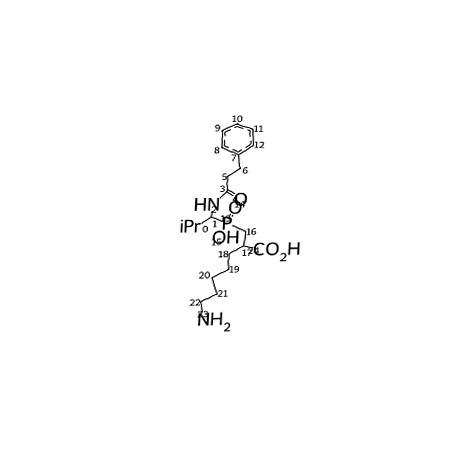 CC(C)C(NC(=O)CCc1ccccc1)P(=O)(O)CC(CCCCCN)C(=O)O